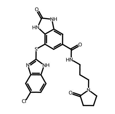 O=C(NCCCN1CCCC1=O)c1cc(Sc2nc3cc(Cl)ccc3[nH]2)c2[nH]c(=O)[nH]c2c1